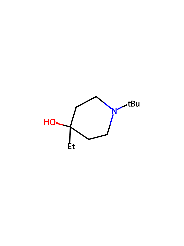 CCC1(O)CCN(C(C)(C)C)CC1